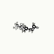 CC(NC(=O)c1ccc(/C(F)=C/C(c2cc(Br)cc(Br)c2)C(F)(F)F)cc1C(F)(F)F)C(=O)N(C)CC(F)(F)F